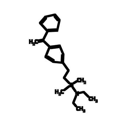 C=C(c1ccccc1)c1ccc(CC[Si](C)(C)N(CC)CC)cc1